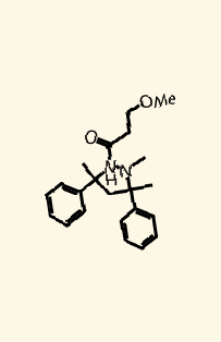 COCCC(=O)NC(C)(CC(C)(c1ccccc1)N(C)C)c1ccccc1